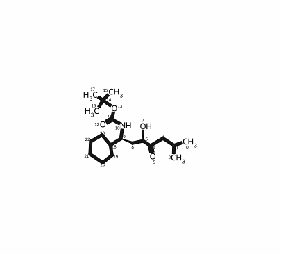 CC(C)CC(=O)[C@H](O)C[C@H](NC(=O)OC(C)(C)C)C1CCCCC1